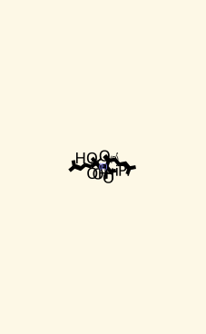 CC(C)=CCC(O)[C@](C)(O)/C(O)=C(/C(=O)C(C)C)C(=O)[C@H](C)CC=C(C)C